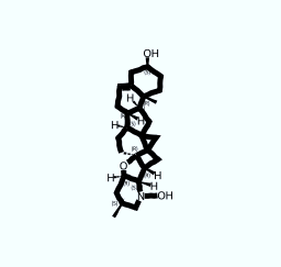 C[C@H]1C[C@H]2O[C@@]34CC[C@H]5[C@@H]6CC=C7C[C@@H](O)CC[C@]7(C)[C@H]6CC56CC63C[C@@H]4[C@@H]2N(O)C1